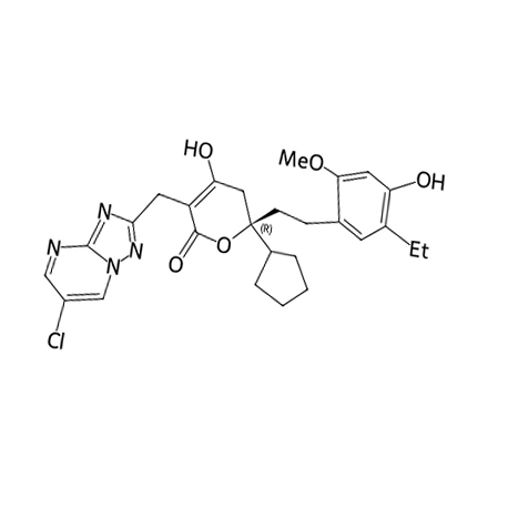 CCc1cc(CC[C@]2(C3CCCC3)CC(O)=C(Cc3nc4ncc(Cl)cn4n3)C(=O)O2)c(OC)cc1O